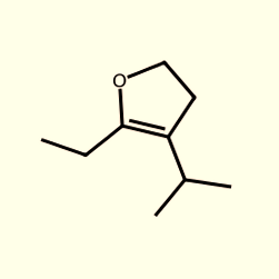 CCC1=C(C(C)C)CCO1